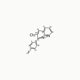 Fc1ccc(-c2nc3ncccc3cc2Cl)cc1